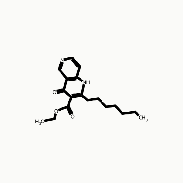 CCCCCCCc1[nH]c2ccncc2c(=O)c1C(=O)OCC